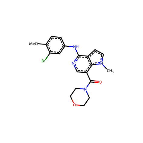 COc1ccc(Nc2ncc(C(=O)N3CCOCC3)c3c2ccn3C)cc1Br